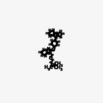 C[Si](C)(C)CCOCn1c(Oc2ccc(-c3c4n(c5cccnc35)CCC4)cc2)nc2ccccc21